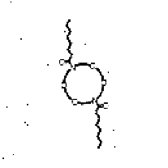 CCCCCCCC(=O)N1CCOCCOCCN(C(=O)CCCCCCC)CCOCCOCC1